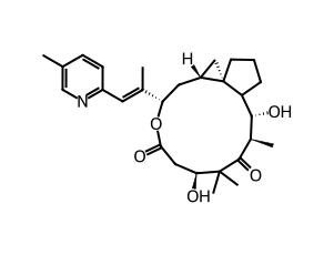 C/C(=C\c1ccc(C)cn1)[C@@H]1C[C@@H]2C[C@@]23CCCC3[C@H](O)[C@@H](C)C(=O)C(C)(C)[C@@H](O)CC(=O)O1